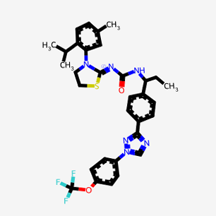 CCC(NC(=O)/N=C1\SCCN1c1cc(C)ccc1C(C)C)c1ccc(-c2ncn(-c3ccc(OC(F)(F)F)cc3)n2)cc1